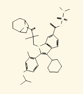 Cc1cc(OC(F)F)ccc1-c1c(C2CCCCC2)c2ccc(C(=O)NS(=O)(=O)N(C)C)cc2n1CC(C)(C)C(=O)N1C2CCCC1CC2